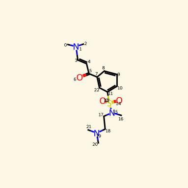 CN(C)C=CC(=O)c1cccc(S(=O)(=O)N(C)CCN(C)C)c1